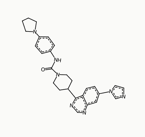 O=C(Nc1ccc(N2CCCC2)cc1)N1CCC(c2ncnc3cc(-n4ccnc4)ccc23)CC1